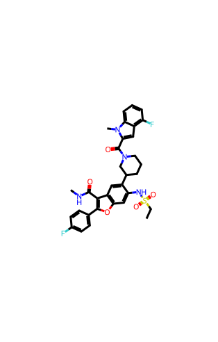 CCS(=O)(=O)Nc1cc2oc(-c3ccc(F)cc3)c(C(=O)NC)c2cc1C1CCCN(C(=O)c2cc3c(F)cccc3n2C)C1